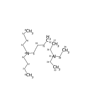 CCCCN(CCCC)CCCC.C[CH2][Al]([CH2]C)[CH2]C